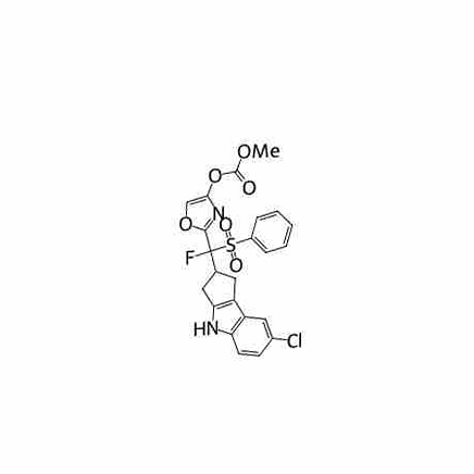 COC(=O)Oc1coc(C(F)(C2Cc3[nH]c4ccc(Cl)cc4c3C2)S(=O)(=O)c2ccccc2)n1